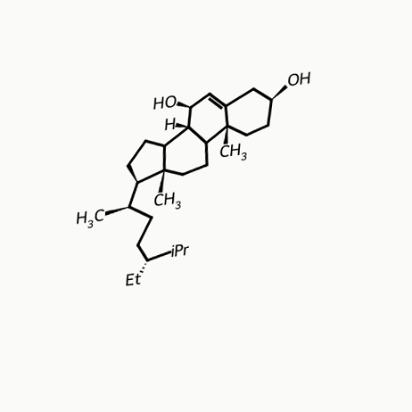 CC[C@H](CC[C@@H](C)[C@H]1CCC2[C@H]3C(CC[C@@]21C)[C@@]1(C)CC[C@H](O)CC1=C[C@@H]3O)C(C)C